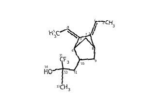 CC=C1C(=CC)C2CC1CC2CC(C)(O)C(F)(F)F